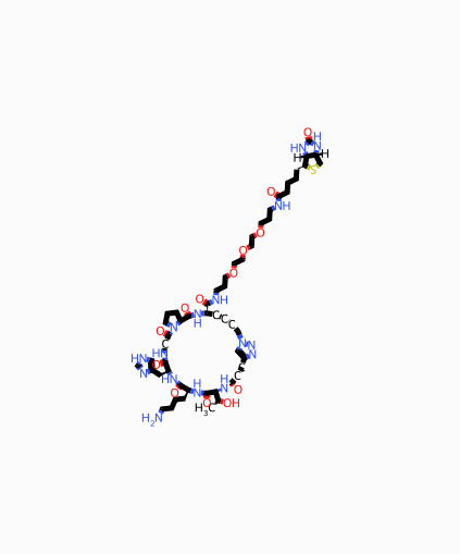 C[C@H](O)[C@@H]1NC(=O)CCc2cn(nn2)CCCC[C@@H](C(=O)NCCCOCCOCCOCCCNC(=O)CCCC[C@H]2SC[C@H]3NC(=O)N[C@H]32)NC(=O)C2CCCN2C(=O)CNC(=O)[C@H](Cc2c[nH]cn2)NC(=O)[C@H](CCCCN)NC1=O